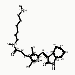 CNCCCCCCN(C)C(=O)CCc1c(C)[nH]c(/C=C2\C(=O)Nc3ccccc32)c1C